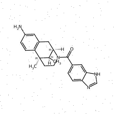 C[C@@H]1[C@H]2Cc3cc(N)ccc3[C@]1(C)CCN2C(=O)c1ccc2nc[nH]c2c1